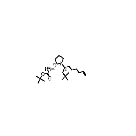 C=CCCCC[C@@H](CC(C)(C)C)N1CCC[C@H]1CNC(=O)OC(C)(C)C